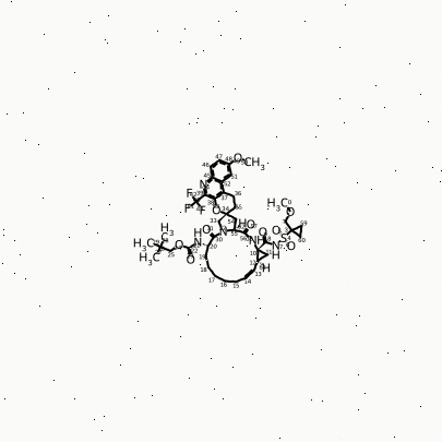 COCC1(S(=O)(=O)NC(=O)[C@@]23C[C@H]2/C=C\CCCCC[C@H](NC(=O)OCC(C)(C)C)C(=O)N2C[C@@]4(CCc5c(c(C(F)(F)F)nc6ccc(OC)cc56)O4)C[C@H]2C(=O)N3)CC1